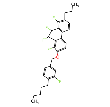 CCCCCc1ccc(COc2ccc3c(c2F)C(F)C(F)c2c-3ccc(CCC)c2F)cc1F